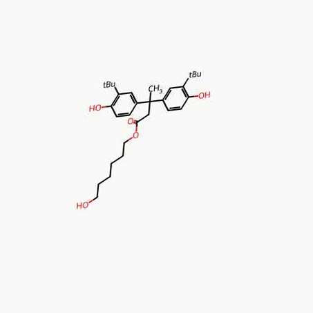 CC(C)(C)c1cc(C(C)(CC(=O)OCCCCCCO)c2ccc(O)c(C(C)(C)C)c2)ccc1O